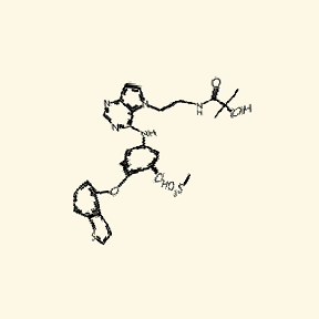 CC(C)(O)C(=O)NCCn1ccc2ncnc(Nc3ccc(Oc4cccc5sccc45)c(Cl)c3)c21.CS(=O)(=O)O